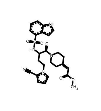 COC(=O)C=C1CCN(C(=O)C(CCn2cccc2C#N)NS(=O)(=O)c2cccc3[nH]ccc23)CC1